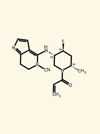 C=CC(=O)N1C[C@H](NC2=C3C=CN=C3CCN2C#N)[C@@H](F)C[C@@H]1C